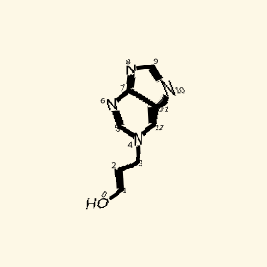 OC=CCn1cnc2ncnc-2c1